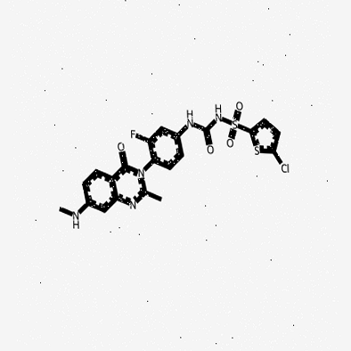 CNc1ccc2c(=O)n(-c3ccc(NC(=O)NS(=O)(=O)c4ccc(Cl)s4)cc3F)c(C)nc2c1